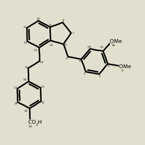 COc1ccc(CC2CCc3cccc(CCc4ccc(C(=O)O)cc4)c32)cc1OC